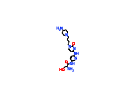 NC1CCN(CCCCn2ccc(Nc3ccc(NC(=O)C(N)CO)cn3)nc2=O)CC1